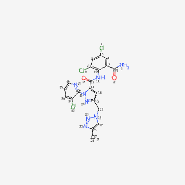 NC(=O)c1cc(Cl)cc(Cl)c1NC(=O)c1cc(Cn2cc(C(F)(F)F)nn2)nn1-c1ncccc1Cl